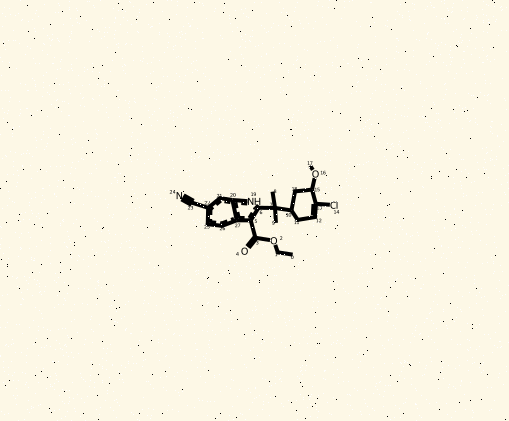 CCOC(=O)c1c(C(C)(C)C2CC=C(Cl)C(OC)C2)[nH]c2cc(C#N)ccc12